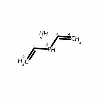 C=CPC=C.[HH]